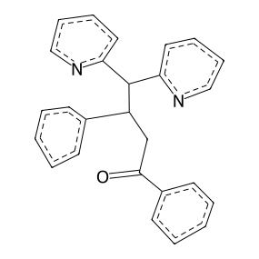 O=C(CC(c1ccccc1)C(c1ccccn1)c1ccccn1)c1ccccc1